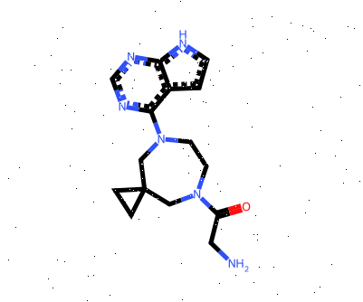 NCC(=O)N1CCN(c2ncnc3[nH]ccc23)CC2(CC2)C1